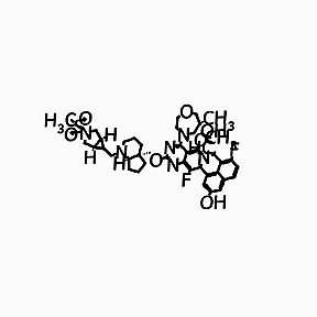 C#Cc1c(F)ccc2cc(O)cc(-c3nc(OC)c4c(N5CCOC[C@@](C)(O)C5)nc(OC[C@]56CCC[C@H]5N(CC5[C@H]7CN(S(C)(=O)=O)C[C@@H]57)CCC6)nc4c3F)c12